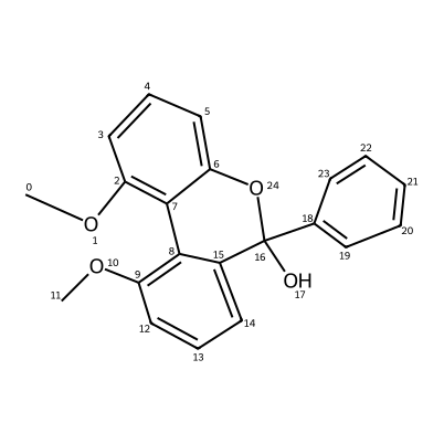 COc1cccc2c1-c1c(OC)cccc1C(O)(c1ccccc1)O2